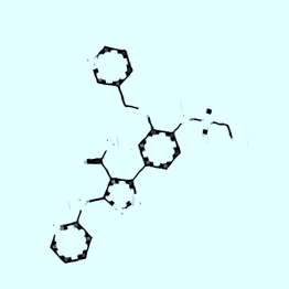 CCS(=O)(=O)Nc1ccc(-c2n[nH]c(Nc3ccccn3)c2C(N)=O)cc1OCc1cccnc1